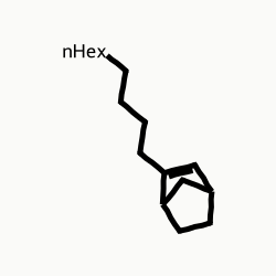 CCCCCCCCCCC1=CC2CCC1C2